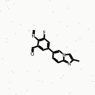 C=Nc1c(F)cc(-c2ccc3nc(C)cn3c2)cc1C=O